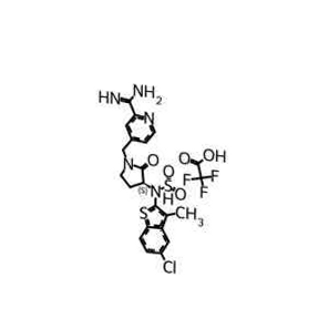 Cc1c(N([C@H]2CCN(Cc3ccnc(C(=N)N)c3)C2=O)[SH](=O)=O)sc2ccc(Cl)cc12.O=C(O)C(F)(F)F